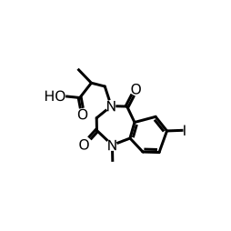 CC(CN1CC(=O)N(C)c2ccc(I)cc2C1=O)C(=O)O